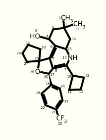 CC1(C)CC(O)C2=C3C(=C(C4CCC4)NC2C1)[C@@H](c1ccc(C(F)(F)F)cc1)OC31CCCC1